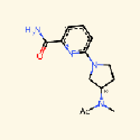 CC(=O)N(C)[C@@H]1CCN(c2cc[c]c(C(N)=O)n2)C1